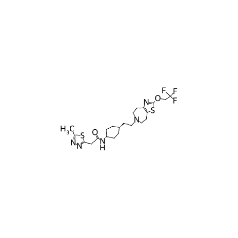 Cc1nnc(CC(=O)N[C@H]2CC[C@H](CCN3CCc4nc(OCC(F)(F)F)sc4CC3)CC2)s1